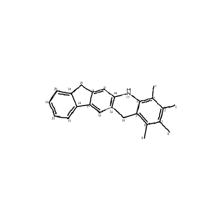 Cc1c(C)c(C)c2c(c1C)Cc1cc3c(cc1N2)Cc1ccccc1-3